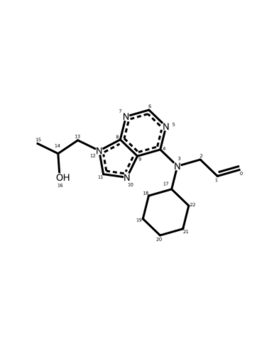 C=CCN(c1ncnc2c1ncn2CC(C)O)C1CCCCC1